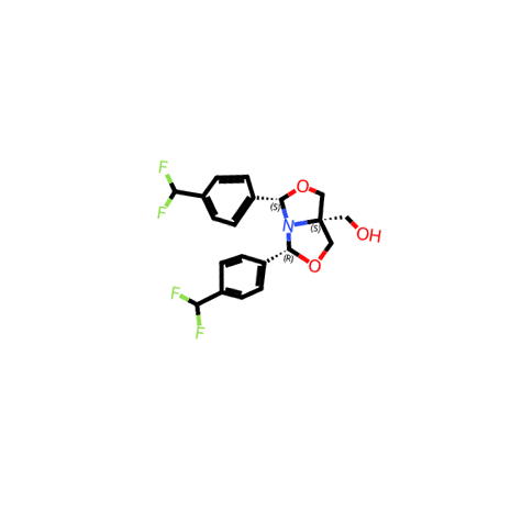 OC[C@]12CO[C@H](c3ccc(C(F)F)cc3)N1[C@H](c1ccc(C(F)F)cc1)OC2